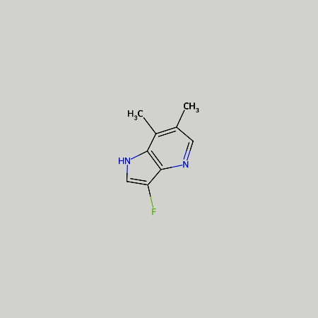 Cc1cnc2c(F)c[nH]c2c1C